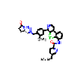 CNCc1ccc(C(=O)Nc2cccc(-c3ccnc(-c4ccc(CNC[C@@H]5CCC(=O)N5)c(OC)c4)c3Cl)c2Cl)nc1